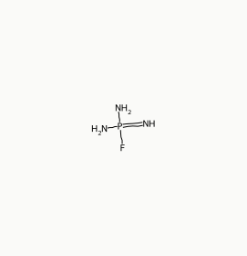 N=P(N)(N)F